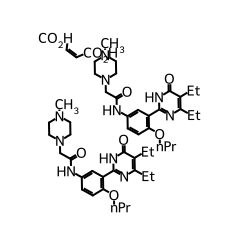 CCCOc1ccc(NC(=O)CN2CCN(C)CC2)cc1-c1nc(CC)c(CC)c(=O)[nH]1.CCCOc1ccc(NC(=O)CN2CCN(C)CC2)cc1-c1nc(CC)c(CC)c(=O)[nH]1.O=C(O)/C=C\C(=O)O